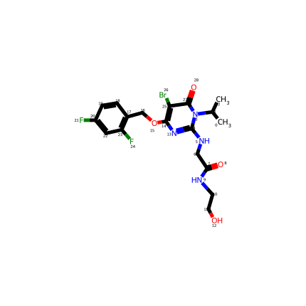 CC(C)n1c(NCC(=O)NCCO)nc(OCc2ccc(F)cc2F)c(Br)c1=O